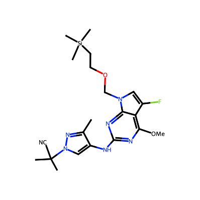 COc1nc(Nc2cn(C(C)(C)C#N)nc2C)nc2c1c(F)cn2COCC[Si](C)(C)C